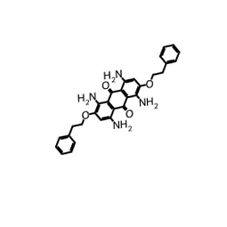 Nc1cc(OCCc2ccccc2)c(N)c2c1C(=O)c1c(N)c(OCCc3ccccc3)cc(N)c1C2=O